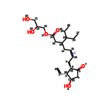 C=C[C@H]1[C@H](O)CC(=O)[C@@H]1C/C=C\CC(CC(=O)OCC(O)CO)C(CC)CC